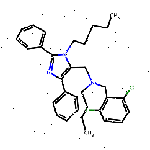 CCCCCn1c(-c2ccccc2)nc(-c2ccccc2)c1CN(CCCC)Cc1c(F)cccc1Cl